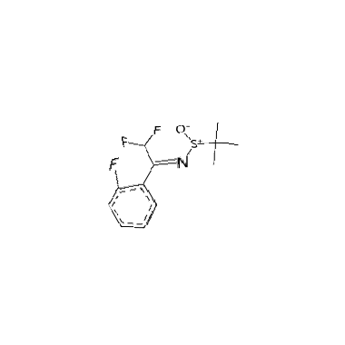 CC(C)(C)[S+]([O-])/N=C(/c1ccccc1F)C(F)F